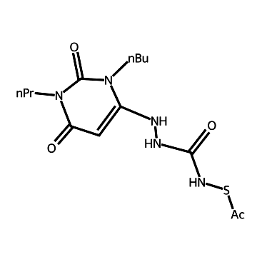 CCCCn1c(NNC(=O)NSC(C)=O)cc(=O)n(CCC)c1=O